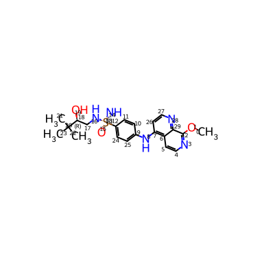 COc1nccc2c(Nc3ccc([S@@](=N)(=O)NC[C@H](O)C(C)(C)C)cc3)ccnc12